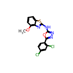 COc1cccc2sc(Nc3nnc(-c4ccc(Cl)cc4Cl)o3)nc12